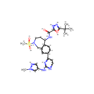 Cn1cc(Nc2nccc(-c3ccc4c(c3)CN(S(C)(=O)=O)CCC4NC(=O)c3nnc(C(C)(C)C)o3)n2)cn1